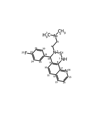 CN(C)CCN1SNc2c(ccc3cccnc23)C1c1ccc(F)cc1